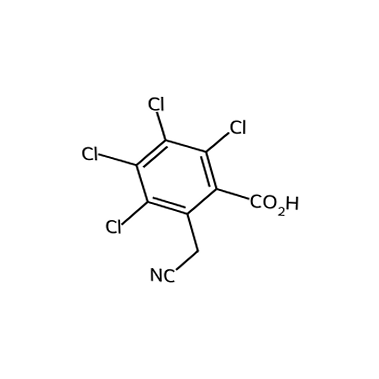 N#CCc1c(Cl)c(Cl)c(Cl)c(Cl)c1C(=O)O